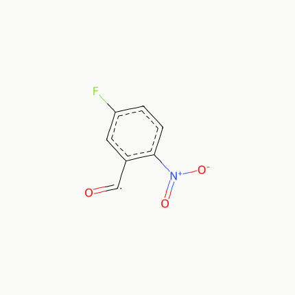 O=[C]c1cc(F)ccc1[N+](=O)[O-]